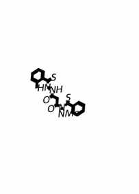 CNN(C(=O)CC(=O)NNC(=S)c1ccccc1C)C(=S)c1ccccc1